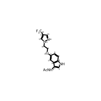 CC(=O)Nc1c[nH]c2ccc(OCCn3cc(C(F)(F)F)cn3)cc12